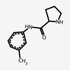 Cc1cccc(NC(=O)C2CCCN2)c1